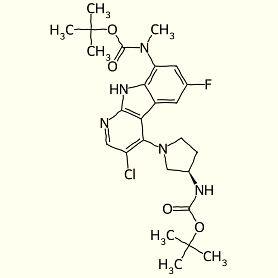 CN(C(=O)OC(C)(C)C)c1cc(F)cc2c1[nH]c1ncc(Cl)c(N3CC[C@@H](NC(=O)OC(C)(C)C)C3)c12